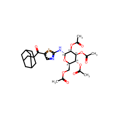 CC(=O)OC[C@H]1O[C@H](Nc2ncc(C(=O)C34CC5CC(CC(C5)C3)C4)s2)[C@@H](OC(C)=O)[C@@H](OC(C)=O)[C@@H]1OC(C)=O